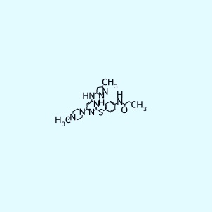 CCC(=O)Nc1ccc(Sc2nc(NC3CC(C)=NN3)cc(N3CCN(C)CC3)n2)cc1